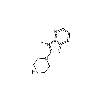 Cn1c(N2CCNCC2)nc2cccnc21